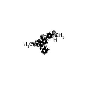 CCOC(=O)Oc1cn(Cc2c(F)cccc2F)c2ccc(Oc3ccc(C(=O)NC)cc3)c(CCl)c2c1=O